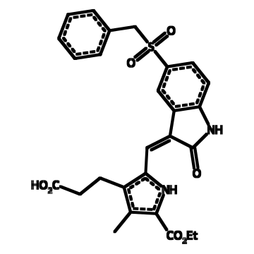 CCOC(=O)c1[nH]c(/C=C2\C(=O)Nc3ccc(S(=O)(=O)Cc4ccccc4)cc32)c(CCC(=O)O)c1C